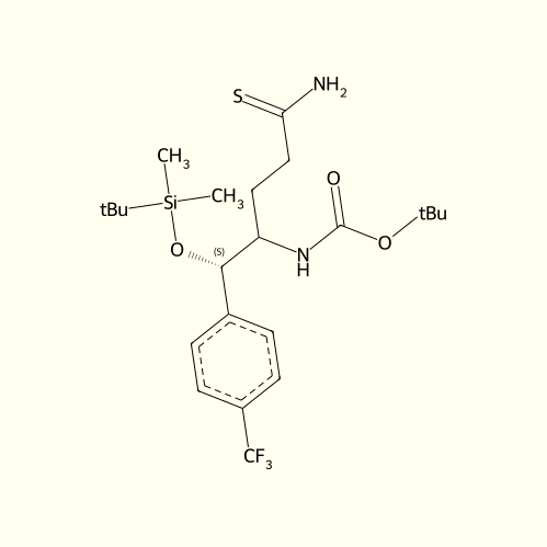 CC(C)(C)OC(=O)NC(CCC(N)=S)[C@@H](O[Si](C)(C)C(C)(C)C)c1ccc(C(F)(F)F)cc1